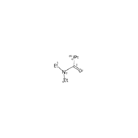 [CH2][C@@H](C)C(=O)N(CC)CC